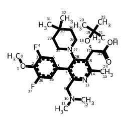 COc1c(F)cc(-c2c(CN(C)C)nc(C)c([C@H](OC(C)(C)C)C(=O)O)c2N2CCC(C)(C)CC2)cc1F